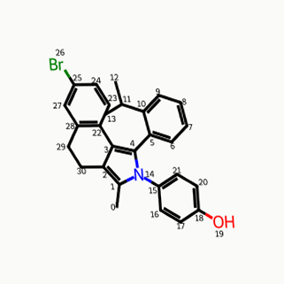 Cc1c2c(c(-c3ccccc3C(C)C)n1-c1ccc(O)cc1)-c1ccc(Br)cc1CC2